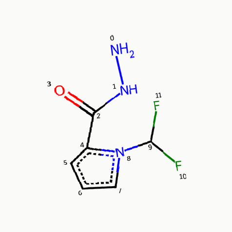 NNC(=O)c1cccn1C(F)F